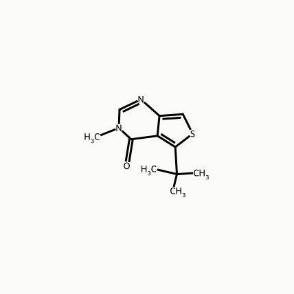 Cn1cnc2csc(C(C)(C)C)c2c1=O